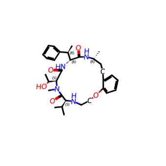 CC(C)[C@@H]1NCCOc2ccccc2CC[C@@H](C)NC(=O)[C@@H]([C@H](C)c2ccccc2)NC(=O)[C@H](C(C)O)N(C)C1=O